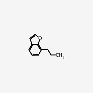 CCCc1cccc2ccoc12